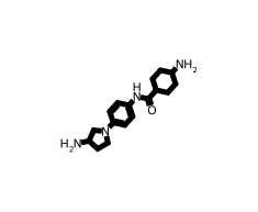 NC1CCC(C(=O)Nc2ccc(N3CCC(N)C3)cc2)CC1